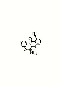 N#Cc1cccc2nc([C@@H](N)C3CC3)n(-c3ccccc3)c(=O)c12